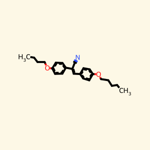 CCCCCOc1ccc(C=C(C#N)c2ccc(OCCCC)cc2)cc1